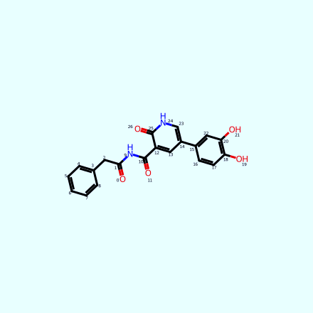 O=C(Cc1ccccc1)NC(=O)c1cc(-c2ccc(O)c(O)c2)c[nH]c1=O